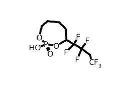 O=P1(O)OCCCCC(C(F)(F)C(F)(F)CC(F)(F)F)O1